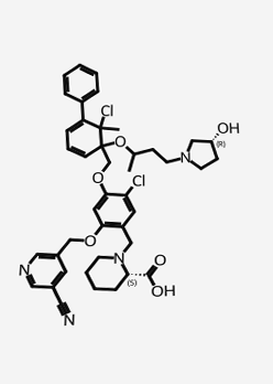 CC(CCN1CC[C@@H](O)C1)OC1(COc2cc(OCc3cncc(C#N)c3)c(CN3CCCC[C@H]3C(=O)O)cc2Cl)C=CC=C(c2ccccc2)C1(C)Cl